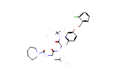 CC(C)C[C@H](NC(=O)N1CCCCCC1)C(=O)N[C@@H](Cc1ccc(OCc2c(Cl)cccc2Cl)cc1)C(=O)NC(C)(C)C